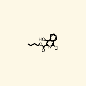 CCCCOC(=O)c1nc(Cl)c2ccccc2c1O